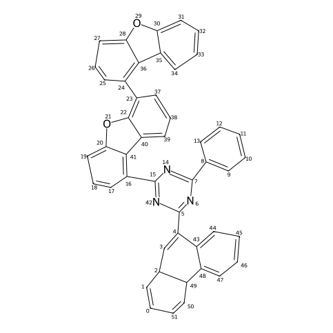 C1=CC2C=C(c3nc(-c4ccccc4)nc(-c4cccc5oc6c(-c7cccc8oc9ccccc9c78)cccc6c45)n3)c3ccccc3C2C=C1